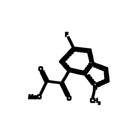 COC(=O)C(=O)c1cc(F)cc2ccn(C)c12